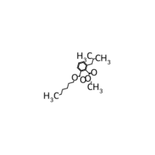 CCCCCCOC(=O)c1cccc(CC(C)C)c1C(=O)OCC